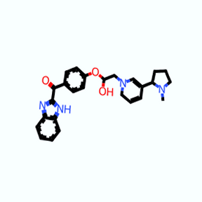 CN1CCCC1C1=CN(CC(O)Oc2ccc(C(=O)c3nc4ccccc4[nH]3)cc2)CC=C1